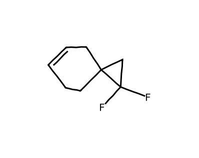 FC1(F)CC12CC=CCC2